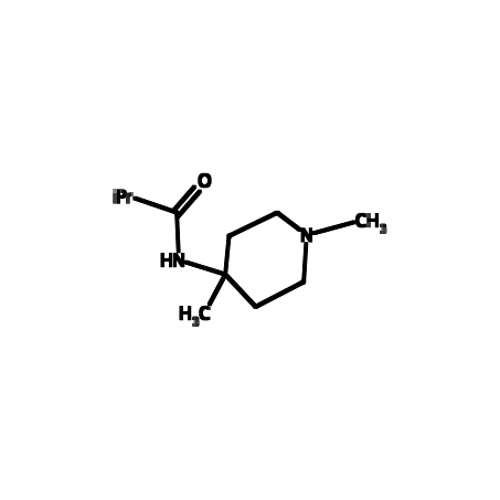 CC(C)C(=O)NC1(C)CCN(C)CC1